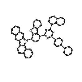 c1ccc(-c2ccc(-c3nc(-c4cccc5ccccc45)nc(-c4ccc(-n5c6cc7ccccc7cc6c6ccc7ccccc7c65)c5oc6ccccc6c45)n3)cc2)cc1